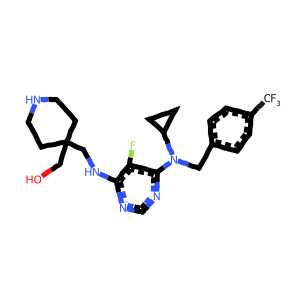 OCC1(CNc2ncnc(N(Cc3ccc(C(F)(F)F)cc3)C3CC3)c2F)CCNCC1